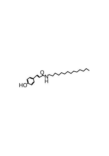 CCCCCCCCCCCCCCNC(=O)C=Cc1ccc(O)cc1